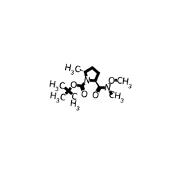 CON(C)C(=O)[C@@H]1CC[C@@H](C)N1C(=O)OC(C)(C)C